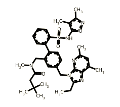 CCc1nc2c(C)cc(C)nc2n1Cc1ccc(-c2ccccc2S(=O)(=O)Nc2onc(C)c2C)c(CN(C)C(=O)CC(C)(C)C)c1